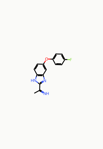 CC(=N)c1nc2cc(Oc3ccc(F)cc3)ccc2[nH]1